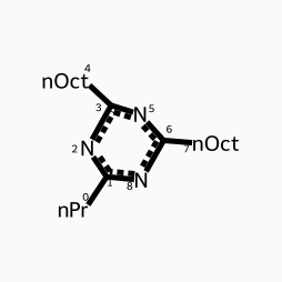 [CH2]CCc1nc(CCCCCCCC)nc(CCCCCCCC)n1